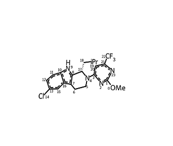 COc1nc(N2CCc3c([nH]c4ccc(Cl)cc34)[C@@H]2CC(C)C)cc(C(F)(F)F)n1